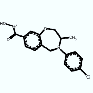 CC1COc2cc(C(=O)NO)ccc2CN1c1ccc(Cl)cc1